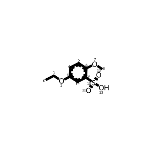 CCOc1ccc(OC)c(S(=O)(=O)O)c1